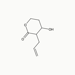 C=CCC1C(=O)OCCC1O